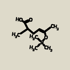 CC(=CCC(C)C(=O)O)O[Si](C)(C)C